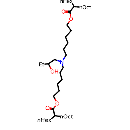 CCCCCCCCC(CCCCCC)C(=O)OCCCCCCN(CCCCCCOC(=O)C(CCCCCC)CCCCCCCC)CC(O)CC